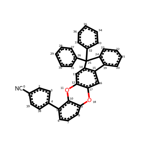 N#Cc1ccc(-c2cccc3c2Oc2cc4c(cc2O3)-c2ccccc2C4(c2ccccc2)c2ccccc2)cc1